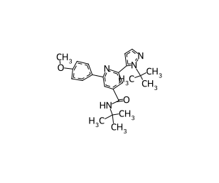 COc1ccc(-c2cc(C(=O)NC(C)(C)C)cc(-c3ccnn3C(C)(C)C)n2)cc1